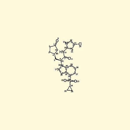 O=C1CC[C@H](C[C@@H](C(=O)Nc2ncc(Cl)s2)n2ncc3c(S(=O)(=O)C4CC4)cccc32)C1